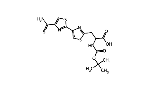 CC(C)(C)OC(=O)NC(Cc1nc(-c2nc(C(N)=S)cs2)cs1)C(=O)O